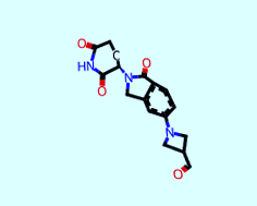 O=CC1CN(c2ccc3c(c2)CN([C@@H]2CCC(=O)NC2=O)C3=O)C1